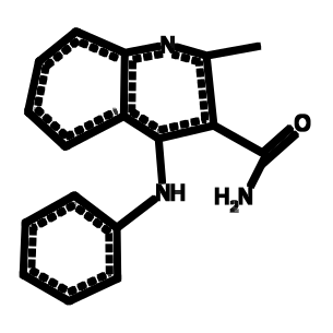 Cc1nc2ccccc2c(Nc2ccccc2)c1C(N)=O